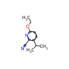 CCOc1ccc(C(C)C)c(C#N)n1